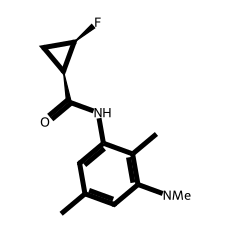 CNc1cc(C)cc(NC(=O)[C@H]2C[C@H]2F)c1C